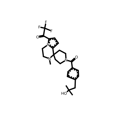 CN1CCn2c(C(=O)C(F)(F)F)ccc2C12CCN(C(=O)c1ccc(CC(C)(C)O)cc1)CC2